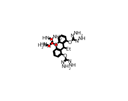 CCC(c1c(OC(N=N)=NN)cccc1OC(N=N)=NN)c1c(OC(N=N)=NN)cccc1OC(N=N)=NN